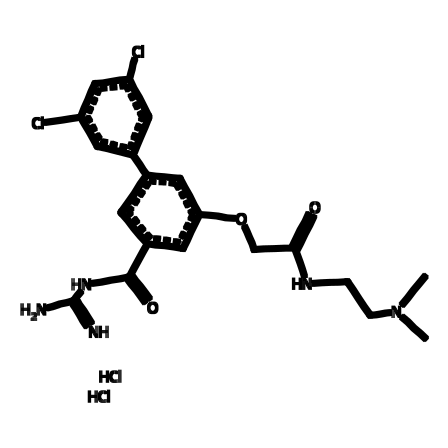 CN(C)CCNC(=O)COc1cc(C(=O)NC(=N)N)cc(-c2cc(Cl)cc(Cl)c2)c1.Cl.Cl